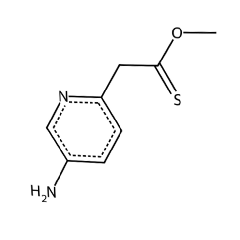 COC(=S)Cc1ccc(N)cn1